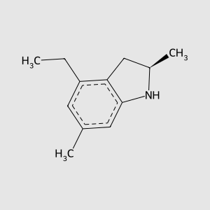 CCc1cc(C)cc2c1C[C@@H](C)N2